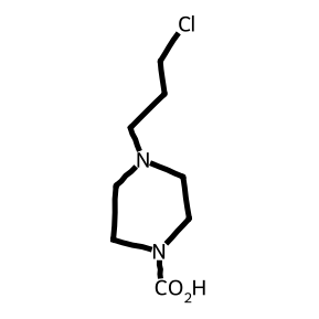 O=C(O)N1CCN(CCCCl)CC1